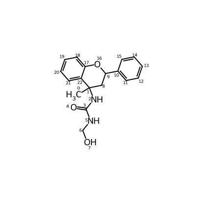 CC1(NC(=O)NCO)CC(c2ccccc2)Oc2ccccc21